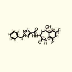 C[C@H]1C[C@H](NC(=O)c2cn(Cc3ccccc3)nn2)C(=O)Nc2c(F)cc(F)cc21